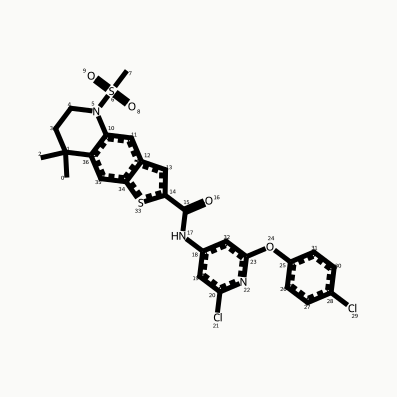 CC1(C)CCN(S(C)(=O)=O)c2cc3cc(C(=O)Nc4cc(Cl)nc(Oc5ccc(Cl)cc5)c4)sc3cc21